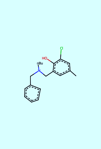 CCCCN(Cc1ccccc1)Cc1cc(C)cc(Cl)c1O